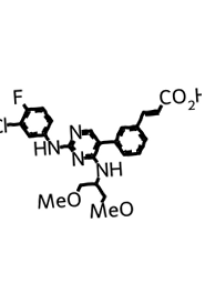 COCC(COC)Nc1nc(Nc2ccc(F)c(Cl)c2)ncc1-c1cccc(C=CC(=O)O)c1